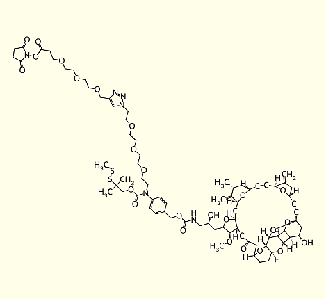 C=C1C[C@@H]2CC[C@]34C[C@@H](O)[C@@H]5C(O3)[C@@H]3[C@H]5O[C@H]5CC[C@H](CC(=O)C[C@@H]6[C@@H](OC)[C@@H](C[C@H](O)CNC(=O)OCc7ccc(N(CCOCCOCCOCCn8cc(COCCOCCOCCC(=O)ON9C(=O)CCC9=O)nn8)C(=O)OCC(C)(C)SSC)cc7)O[C@H]6C[C@H]6O[C@@H](CC[C@@H]1O2)C[C@@H](C)C6=C)O[C@@H]5[C@@H]3O4